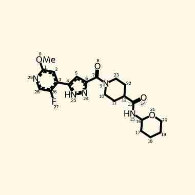 COc1cc(-c2cc(C(=O)N3CCC(C(=O)NC4CCCCO4)CC3)n[nH]2)c(F)cn1